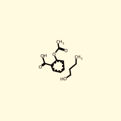 CC(=O)Oc1ccccc1C(=O)O.CCCCO